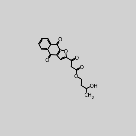 CC(O)CCOC(=O)CC(=O)c1cc2c(o1)C(=O)c1ccccc1C2=O